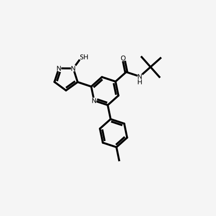 Cc1ccc(-c2cc(C(=O)NC(C)(C)C)cc(-c3ccnn3S)n2)cc1